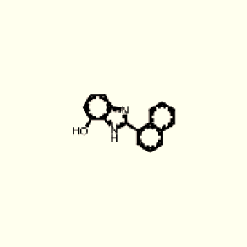 Oc1cccc2nc(-c3cccc4ccccc34)[nH]c12